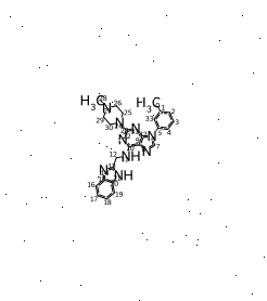 Cc1cccc(-n2cnc3c(NCc4nc5ccccc5[nH]4)nc(N4CCN(C)CC4)nc32)c1